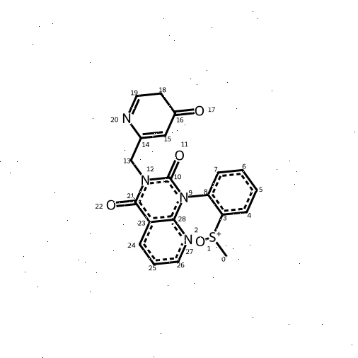 C[S+]([O-])c1ccccc1-n1c(=O)n(CC2=CC(=O)CC=N2)c(=O)c2cccnc21